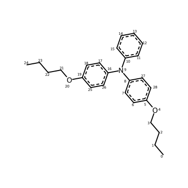 CCCCOc1ccc(N(c2cc[c]cc2)c2ccc(OCCCC)cc2)cc1